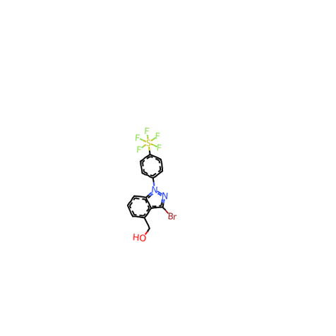 OCc1cccc2c1c(Br)nn2-c1ccc(S(F)(F)(F)(F)F)cc1